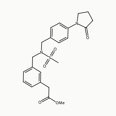 COC(=O)Cc1cccc(CN(Cc2ccc(N3CCCC3=O)cc2)S(C)(=O)=O)c1